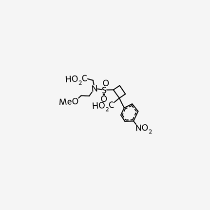 COCCN(CC(=O)O)S(=O)(=O)C1CCC1(C(=O)O)c1ccc([N+](=O)[O-])cc1